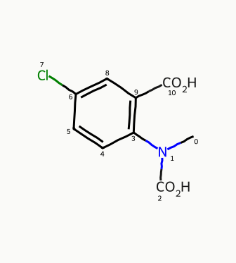 CN(C(=O)O)c1ccc(Cl)cc1C(=O)O